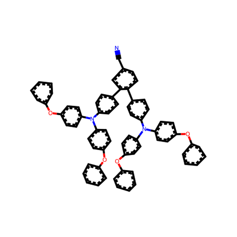 N#Cc1ccc(-c2ccc(N(c3ccc(Oc4ccccc4)cc3)c3ccc(Oc4ccccc4)cc3)cc2)c(-c2ccc(N(c3ccc(Oc4ccccc4)cc3)c3ccc(Oc4ccccc4)cc3)cc2)c1